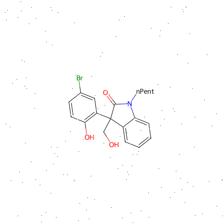 CCCCCN1C(=O)C(CO)(c2cc(Br)ccc2O)c2ccccc21